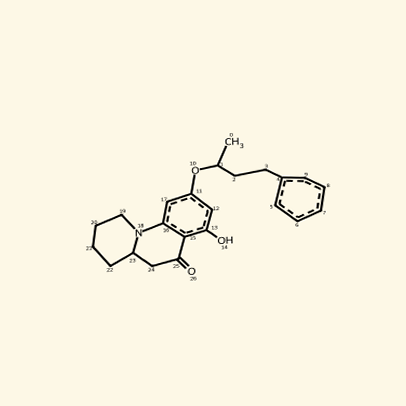 CC(CCc1ccccc1)Oc1cc(O)c2c(c1)N1CCCCC1CC2=O